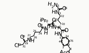 CC(=O)OCc1ccc(NC(=O)[C@@H](CCCNC(N)=O)NC(=O)[C@H](NC(=O)CCCCNC(=O)CCl)C(C)C)cc1